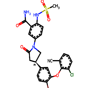 CS(=O)(=O)Nc1ccc(N2C[C@@H](c3ccc(Br)c(Oc4c(Cl)cccc4C#N)c3)CC2=O)cc1C(N)=O